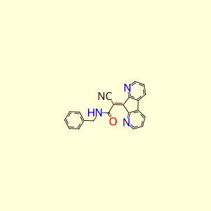 N#CC(C(=O)NCc1ccccc1)=C1c2ncccc2-c2cccnc21